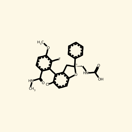 CNC(=O)c1ccc(OC)c(F)c1-c1c(Cl)ccc2c1C[C@@](CNC(=O)O)(c1ccccc1)O2